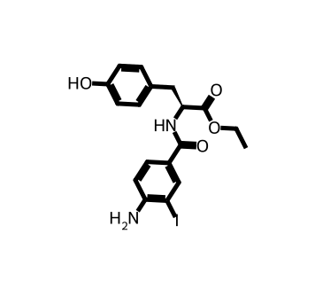 CCOC(=O)[C@H](Cc1ccc(O)cc1)NC(=O)c1ccc(N)c(I)c1